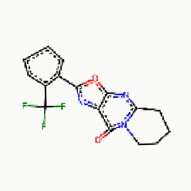 O=c1c2nc(-c3ccccc3C(F)(F)F)oc2nc2n1CCCC2